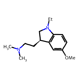 CCN1C[C@H](CCN(C)C)c2cc(OC)ccc21